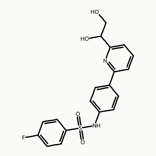 O=S(=O)(Nc1ccc(-c2cccc(C(O)CO)n2)cc1)c1ccc(F)cc1